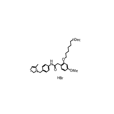 Br.CCCCCCCCCCCCCCCCOc1cc(OC)ccc1CC(=O)Nc1ccc(CN2CSC=C2C)cc1